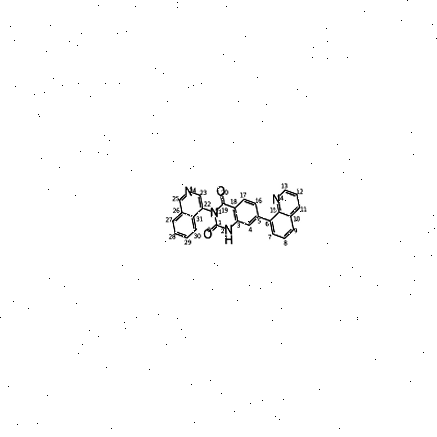 O=c1[nH]c2cc(-c3cccc4cccnc34)ccc2c(=O)n1-c1cncc2ccccc12